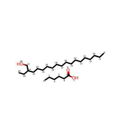 CCCCCC(=O)O.CCCCCCCCCCCCCCCCC(CC)CO